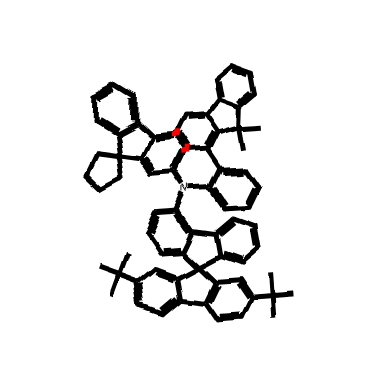 CC(C)(C)c1ccc2c(c1)C1(c3cc(C(C)(C)C)ccc3-2)c2ccccc2-c2c(N(c3ccc4c(c3)C3(CCCC3)c3ccccc3-4)c3ccccc3-c3cccc4c3C(C)(C)c3ccccc3-4)cccc21